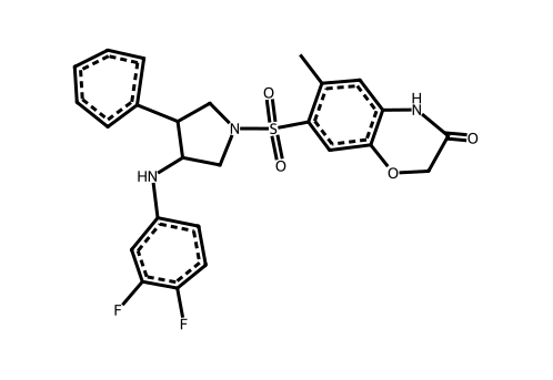 Cc1cc2c(cc1S(=O)(=O)N1CC(Nc3ccc(F)c(F)c3)C(c3ccccc3)C1)OCC(=O)N2